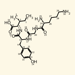 CC[C@H](C)[C@H](NC(=O)[C@H](Cc1ccc(O)cc1)NC(=O)CNC(=O)[C@@H](N)CCCCN)C(=O)O